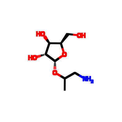 CC(CN)O[C@H]1O[C@H](CO)[C@H](O)[C@H]1O